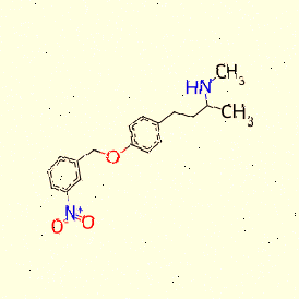 CNC(C)CCc1ccc(OCc2cccc([N+](=O)[O-])c2)cc1